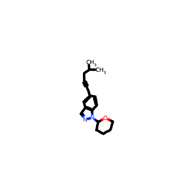 CC(C)CC#Cc1ccc2c(cnn2C2CCCCO2)c1